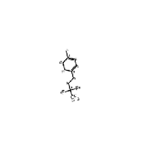 CC1=CC=C(CCC(F)(F)C(F)(F)F)CC1